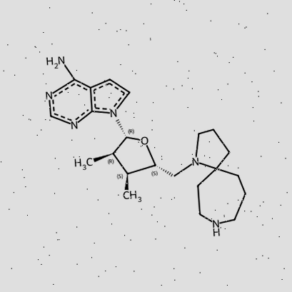 C[C@@H]1[C@H](C)[C@@H](CN2CCCC23CCCNCC3)O[C@H]1n1ccc2c(N)ncnc21